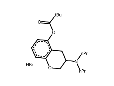 Br.CCCN(CCC)C1COc2cccc(OC(=O)C(C)(C)C)c2C1